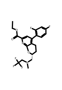 CCOC(=O)c1cc(-c2ccc(F)cc2F)c2c(n1)O[C@@H](CN(C)CC(F)(F)F)CC2